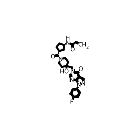 C=CC(=O)N[C@@H]1CC[C@H](C(=O)N2CCC(O)(Cn3cnc4c(cnn4-c4ccc(F)cc4)c3=O)CC2)C1